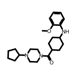 COc1ccccc1NC1CCC(C(=O)N2CCN(C3CCCC3)CC2)CC1